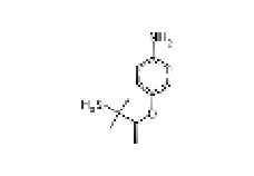 C=C(Oc1ccc(N)cc1)C(C)(C)[SiH3]